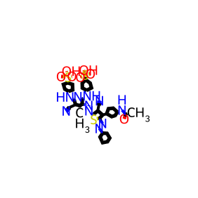 CC(=O)Nc1ccc(-c2c(N=Nc3ccccc3)sc(N=Nc3c(Nc4ccc(S(=O)(=O)O)cc4)nc(Nc4ccc(S(=O)(=O)O)cc4)c(C#N)c3C)c2C#N)cc1